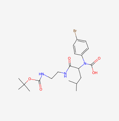 CC(C)CC(C(=O)NCCNC(=O)OC(C)(C)C)N(C(=O)O)c1ccc(Br)cc1